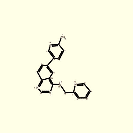 Nc1ccc(-c2ccc3ncnc(NCc4ccccn4)c3c2)cn1